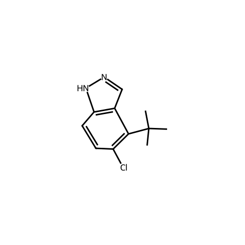 CC(C)(C)c1c(Cl)ccc2[nH]ncc12